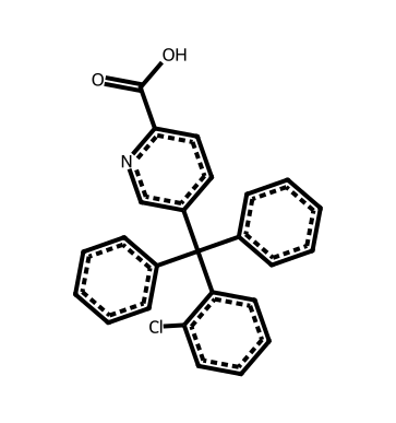 O=C(O)c1ccc(C(c2ccccc2)(c2ccccc2)c2ccccc2Cl)cn1